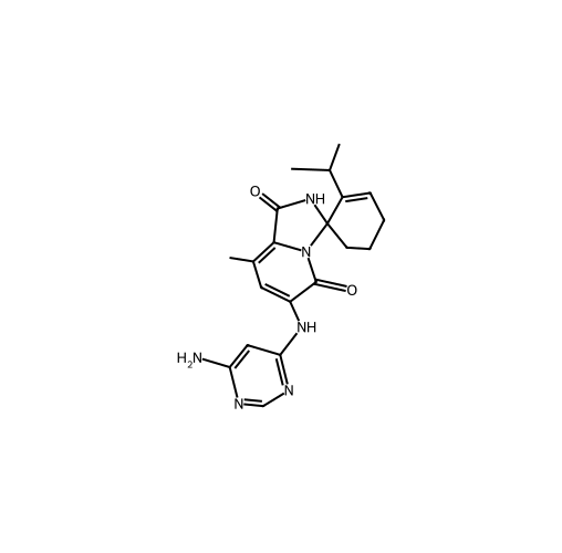 Cc1cc(Nc2cc(N)ncn2)c(=O)n2c1C(=O)NC21CCCC=C1C(C)C